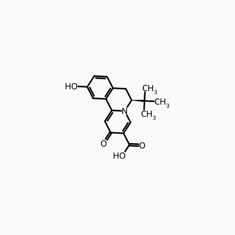 CC(C)(C)[C@@H]1Cc2ccc(O)cc2-c2cc(=O)c(C(=O)O)cn21